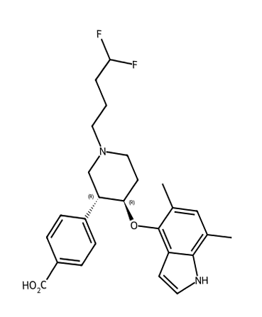 Cc1cc(C)c2[nH]ccc2c1O[C@@H]1CCN(CCCC(F)F)C[C@H]1c1ccc(C(=O)O)cc1